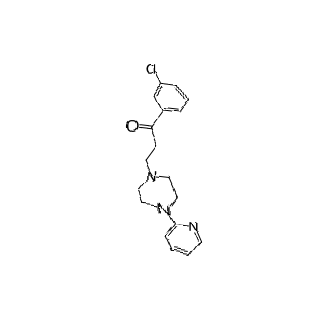 O=C(CCN1CCN(c2ccccn2)CC1)c1cccc(Cl)c1